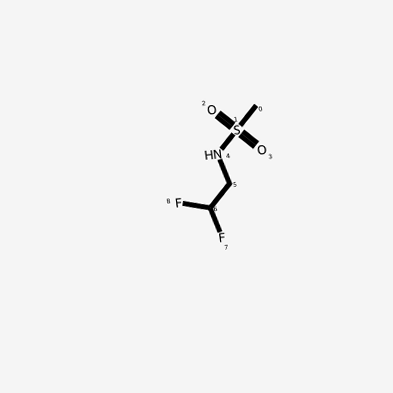 CS(=O)(=O)NC[C](F)F